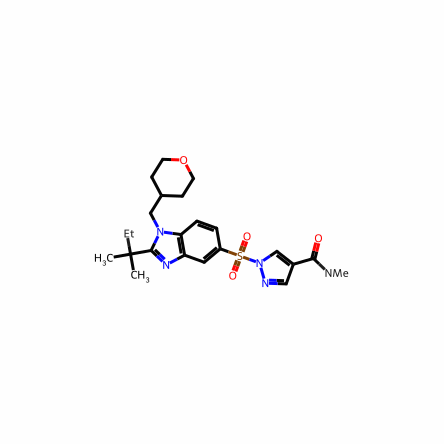 CCC(C)(C)c1nc2cc(S(=O)(=O)n3cc(C(=O)NC)cn3)ccc2n1CC1CCOCC1